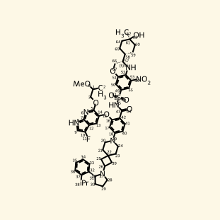 COC(C)COc1nc2[nH]cc(F)c2cc1Oc1cc(N2CCC3(CC2)CC(N2CCC[C@H]2c2ccccc2C(C)C)C3)ccc1C(=O)NS(=O)(=O)c1cc2c(c([N+](=O)[O-])c1)N[C@@H]([C@H]1CC[C@](C)(O)CC1)CO2